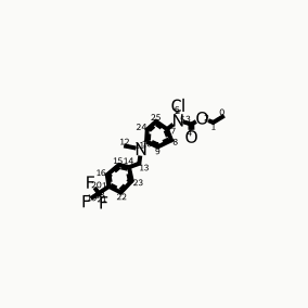 CCOC(=O)N(Cl)c1ccc(N(C)Cc2ccc(C(F)(F)F)cc2)cc1